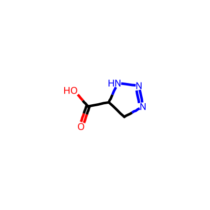 O=C(O)C1CN=NN1